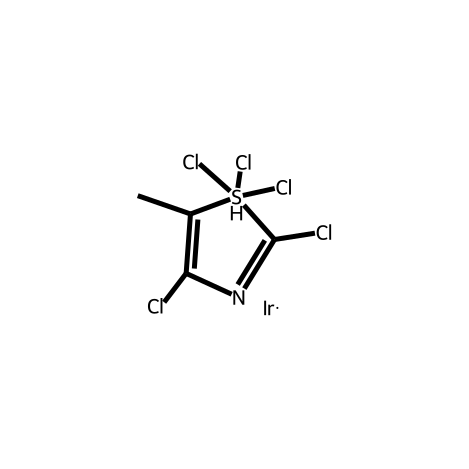 CC1=C(Cl)N=C(Cl)[SH]1(Cl)(Cl)Cl.[Ir]